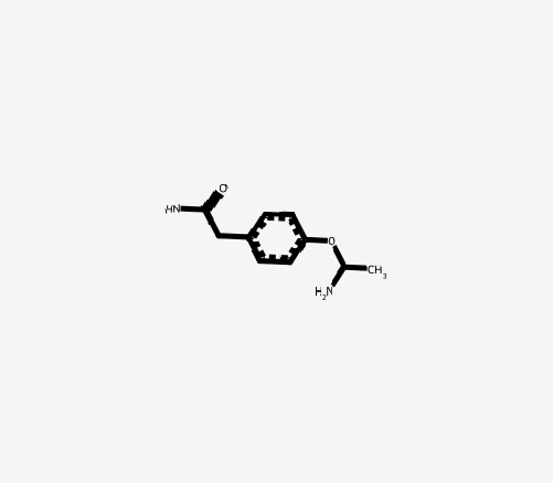 CC(N)Oc1ccc(CC([NH])=O)cc1